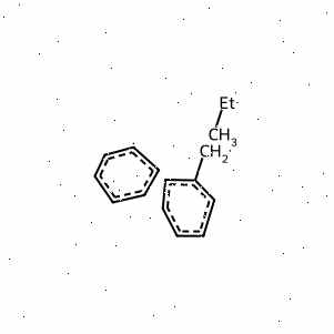 C[CH]C.[CH2]c1ccccc1.[c]1ccccc1